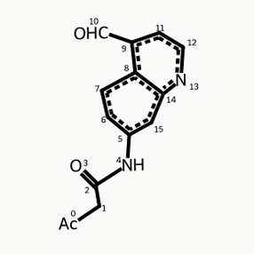 CC(=O)CC(=O)Nc1ccc2c(C=O)ccnc2c1